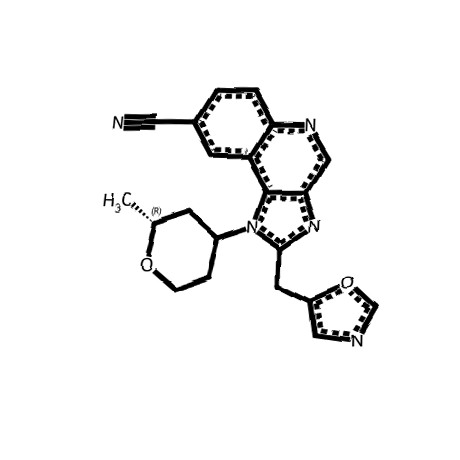 C[C@@H]1CC(n2c(Cc3cnco3)nc3cnc4ccc(C#N)cc4c32)CCO1